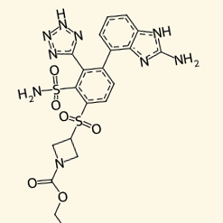 CCOC(=O)N1CC(S(=O)(=O)c2ccc(-c3cccc4[nH]c(N)nc34)c(-c3nn[nH]n3)c2S(N)(=O)=O)C1